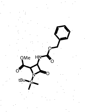 COC(=O)C1C(NC(=O)OCc2ccccc2)C(=O)N1[Si](C)(C)C(C)(C)C